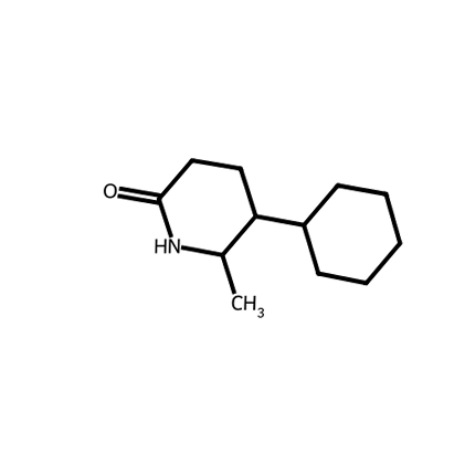 CC1NC(=O)CCC1C1CCCCC1